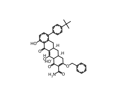 CC(C)(C)c1ccc(-c2ccc(O)c3c2C[C@H]2C[C@H]4CC(OCc5ccccc5)=C(C(N)=O)C(=O)[C@@]4(O)C(O)=C2C3=O)cc1